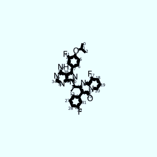 CC(C)Oc1ccc(-c2nn([C@H](C)c3nc4c(F)cccn4c(=O)c3-c3cccc(F)c3)c3ncnc(N)c23)cc1F